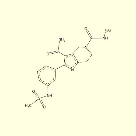 CC(C)(C)NC(=O)N1CCn2nc(-c3cccc(NS(C)(=O)=O)c3)c(C(N)=O)c2C1